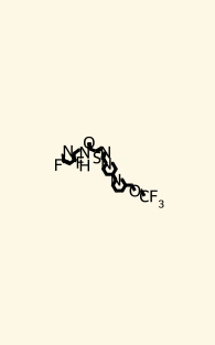 O=C(NCc1ncc(F)cc1F)c1cnc(N2CCC(N3CCCC(COCC(F)(F)F)C3)CC2)s1